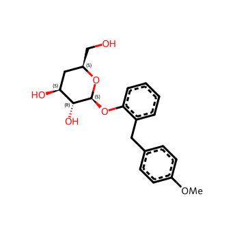 COc1ccc(Cc2ccccc2O[C@@H]2O[C@H](CO)C[C@H](O)[C@H]2O)cc1